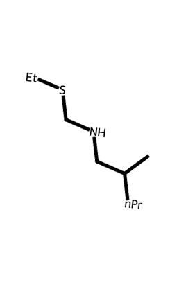 CCCC(C)CNCSCC